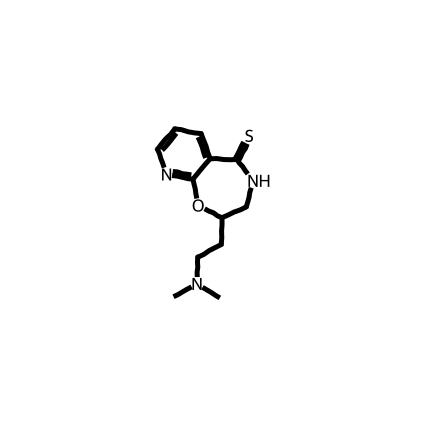 CN(C)CCC1CNC(=S)c2cccnc2O1